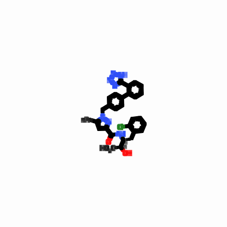 CCCc1cc(C(=O)N[C@H](Cc2ccccc2Cl)[C@@H](O)C(=O)O)nn1Cc1ccc(-c2ccccc2-c2nnn[nH]2)cc1